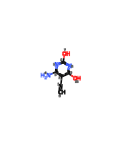 C#Cc1c(N)nc(O)nc1O